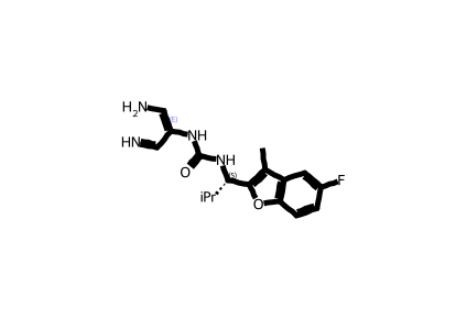 Cc1c([C@@H](NC(=O)N/C(C=N)=C/N)C(C)C)oc2ccc(F)cc12